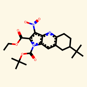 CCOC(=O)c1c([N+](=O)[O-])c2nc3c(cc2n1C(=O)OC(C)(C)C)CC(C(C)(C)C)CC3